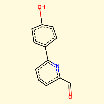 O=Cc1cccc(-c2ccc(O)cc2)n1